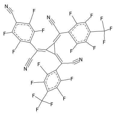 N#CC(=C1C(=C(\C#N)c2c(F)c(F)c(C#N)c(F)c2F)/C1=C(\C#N)c1c(F)c(F)c(C(F)(F)F)c(F)c1F)c1c(F)c(F)c(C(F)(F)F)c(F)c1F